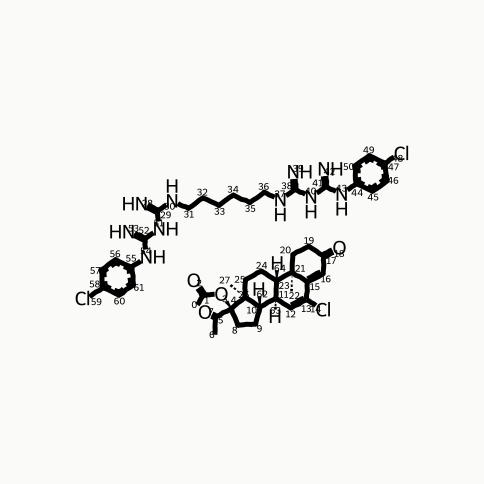 CC(=O)O[C@]1(C(C)=O)CC[C@H]2[C@@H]3C=C(Cl)C4=CC(=O)CC[C@]4(C)[C@H]3CC[C@@]21C.N=C(NCCCCCCNC(=N)NC(=N)Nc1ccc(Cl)cc1)NC(=N)Nc1ccc(Cl)cc1